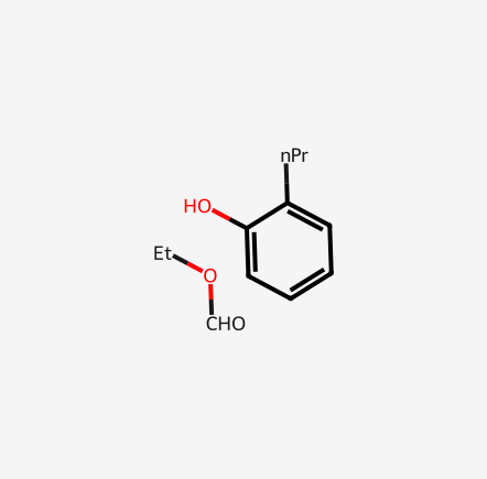 CCCc1ccccc1O.CCOC=O